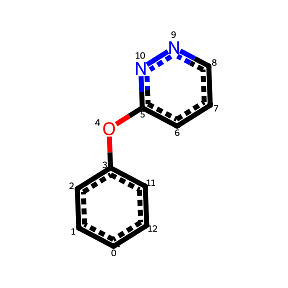 [c]1ccc(Oc2cccnn2)cc1